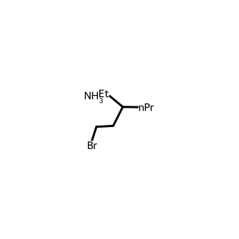 CCCC(CC)CCBr.N